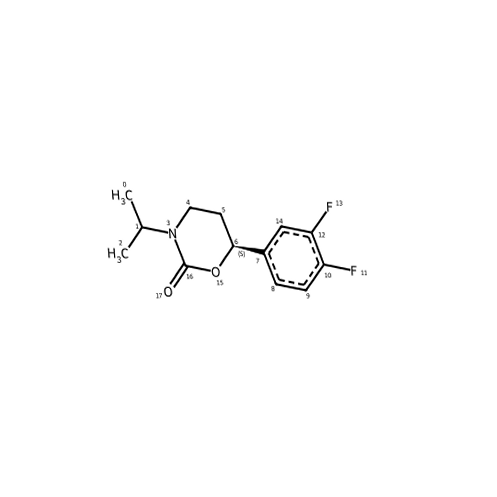 CC(C)N1CC[C@@H](c2ccc(F)c(F)c2)OC1=O